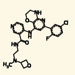 CN(CCNC(=O)c1cnccc1Nc1cc(-c2cc(Cl)ccc2F)nc2c1OCCN2)C1COC1